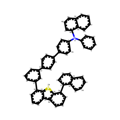 c1ccc(N(c2ccc(-c3ccc(-c4cccc(-c5cccc6c5sc5c(-c7cccc8ccccc78)cccc56)c4)cc3)cc2)c2cccc3ccccc23)cc1